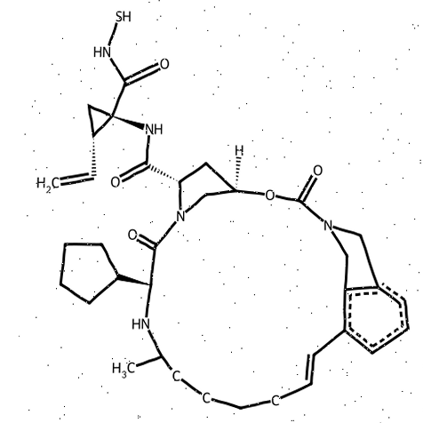 C=C[C@@H]1C[C@]1(NC(=O)[C@@H]1C[C@@H]2CN1C(=O)[C@H](C1CCCC1)NC(C)CCCC/C=C/c1cccc3c1CN(C3)C(=O)O2)C(=O)NS